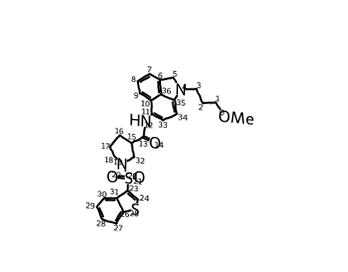 COCCCN1Cc2cccc3c(NC(=O)C4CCCN(S(=O)(=O)c5csc6ccccc56)C4)ccc1c23